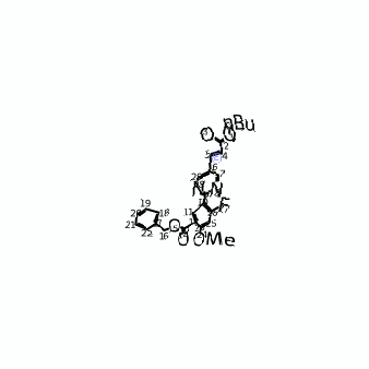 CCCCOC(=O)/C=C/c1cnc(-c2cc(C(=O)OCc3ccccc3)c(OC)cc2F)nc1